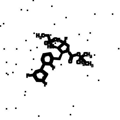 CCS(=O)(=O)N[C@@H]1[C@H](Cc2cccc(-c3cc(F)cc(F)c3)c2F)N(C(=O)OC(C)(C)C)CC1(F)F